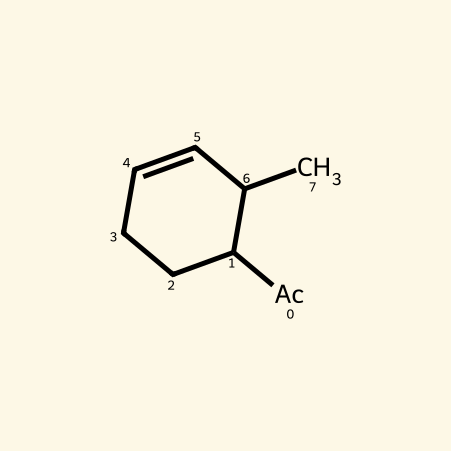 CC(=O)C1CCC=CC1C